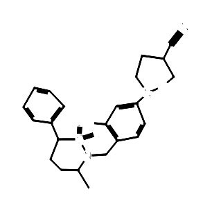 CC1CCC(c2ccccc2)S(=O)(=O)N1Cc1ccc(N2CCC(C#N)CC2)cc1F